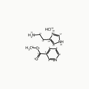 COC(=O)c1cccnc1.Cl.NCCc1c[nH]cn1